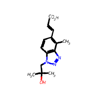 Cc1c(/C=C/C(=O)O)ccc2c1nnn2CC(C)(C)O